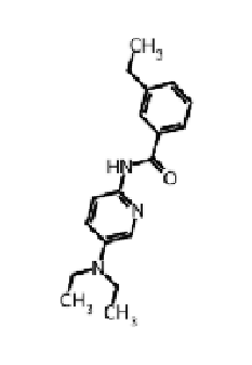 CCc1cccc(C(=O)Nc2ccc(N(CC)CC)cn2)c1